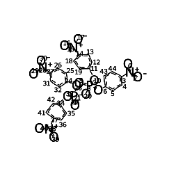 O=[N+]([O-])c1ccc(OP(=O)(Oc2ccc([N+](=O)[O-])cc2)OP(=O)(Oc2ccc([N+](=O)[O-])cc2)Oc2ccc([N+](=O)[O-])cc2)cc1